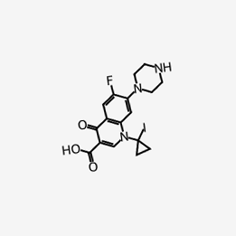 O=C(O)c1cn(C2(I)CC2)c2cc(N3CCNCC3)c(F)cc2c1=O